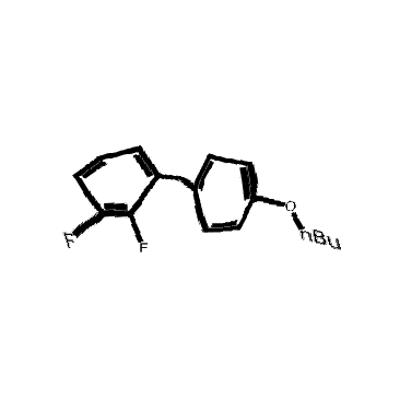 CCCCOc1ccc(-c2cccc(F)c2F)cc1